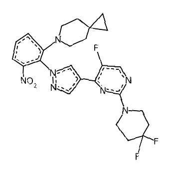 O=[N+]([O-])c1cccc(N2CCC3(CC2)CC3)c1-n1cc(-c2nc(N3CCC(F)(F)CC3)ncc2F)cn1